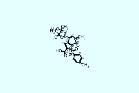 Cc1ccc(S(=O)(=O)n2c(C(=O)O)cc3c(B4OC(C)(C)C(C)(C)O4)cn(C)c(=O)c32)cc1